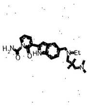 CCN(Cc1ccc2[nH]c(-c3c[c]cn(C(N)=O)c3=O)cc2c1)CC(C)(C)CN(C)C